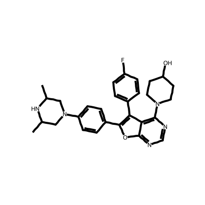 CC1CN(c2ccc(-c3oc4ncnc(N5CCC(O)CC5)c4c3-c3ccc(F)cc3)cc2)CC(C)N1